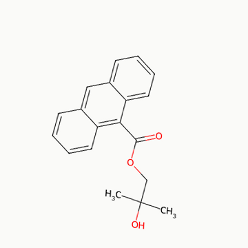 CC(C)(O)COC(=O)c1c2ccccc2cc2ccccc12